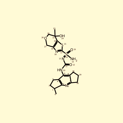 CC1CCc2c1nc1c(c2NC(=O)N=S(N)(=O)c2nc3c(s2)C(C)(O)COC3)CCC1